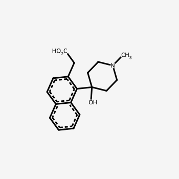 CN1CCC(O)(c2c(CC(=O)O)ccc3ccccc23)CC1